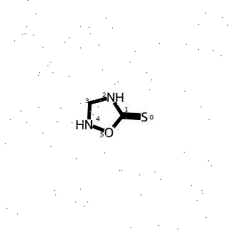 S=C1N[CH]NO1